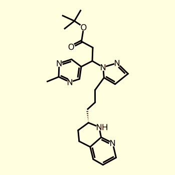 Cc1ncc(C(CC(=O)OC(C)(C)C)n2nccc2CCC[C@H]2CCc3cccnc3N2)cn1